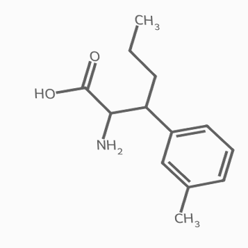 CCCC(c1cccc(C)c1)C(N)C(=O)O